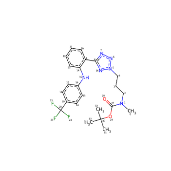 CN(CCCn1nnc(-c2ccccc2Nc2ccc(C(F)(F)F)cc2)n1)C(=O)OC(C)(C)C